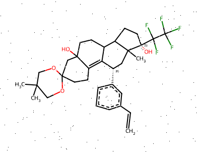 C=Cc1cccc([C@H]2CC3(C)C(CC[C@@]3(O)C(F)(F)C(F)(F)F)C3CCC4(O)CC5(CCC4=C32)OCC(C)(C)CO5)c1